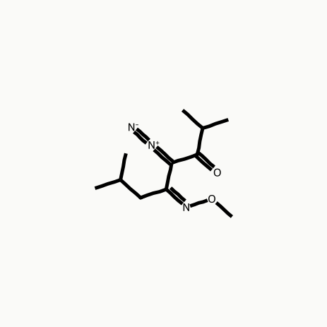 CO/N=C(/CC(C)C)C(=[N+]=[N-])C(=O)C(C)C